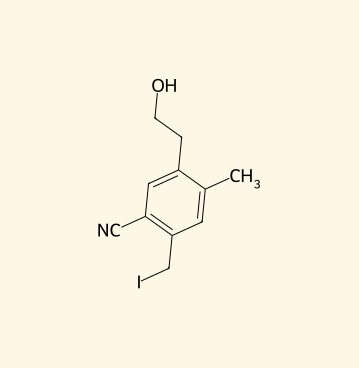 Cc1cc(CI)c(C#N)cc1CCO